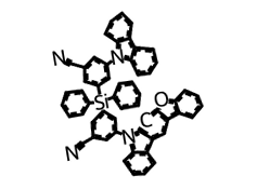 N#Cc1cc(-n2c3ccccc3c3ccccc32)cc([Si](c2ccccc2)(c2ccccc2)c2cc(C#N)cc(-n3c4ccccc4c4cc5c(cc43)oc3ccccc35)c2)c1